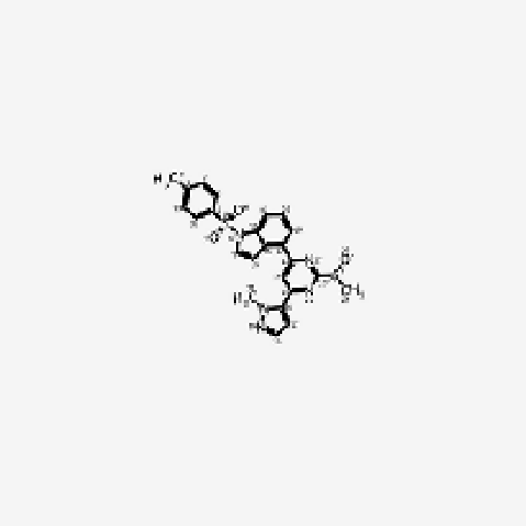 Cc1ccc(S(=O)(=O)n2ccc3c(-c4cc(-c5ccnn5C)nc([S+](C)[O-])n4)cccc32)cc1